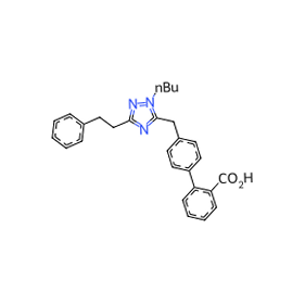 CCCCn1nc(CCc2ccccc2)nc1Cc1ccc(-c2ccccc2C(=O)O)cc1